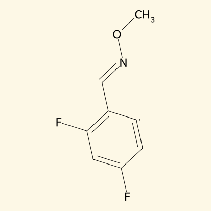 CON=Cc1[c]cc(F)cc1F